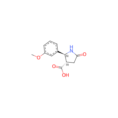 COc1cccc([C@H]2NC(=O)C[C@@H]2C(=O)O)c1